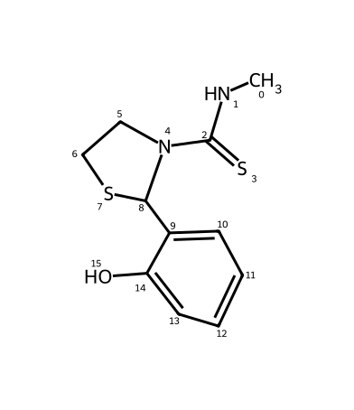 CNC(=S)N1CCSC1c1ccccc1O